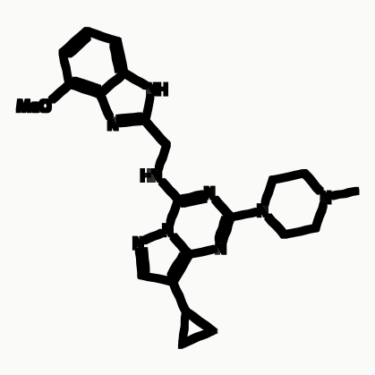 COc1cccc2[nH]c(CNc3nc(N4CCN(C)CC4)nc4c(C5CC5)cnn34)nc12